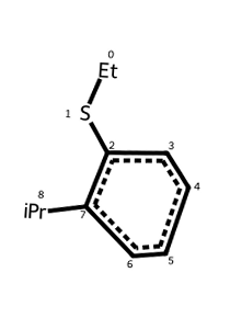 CCSc1ccccc1C(C)C